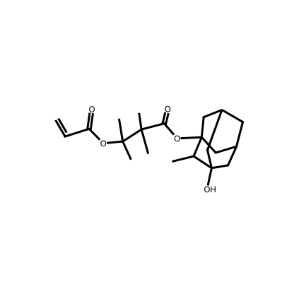 C=CC(=O)OC(C)(C)C(C)(C)C(=O)OC12CC3CC(CC(O)(C3)C1C)C2